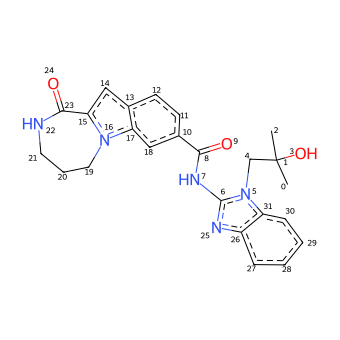 CC(C)(O)Cn1c(NC(=O)c2ccc3cc4n(c3c2)CCCNC4=O)nc2ccccc21